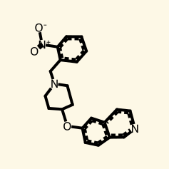 O=[N+]([O-])c1ccccc1CN1CCC(Oc2ccc3cnccc3c2)CC1